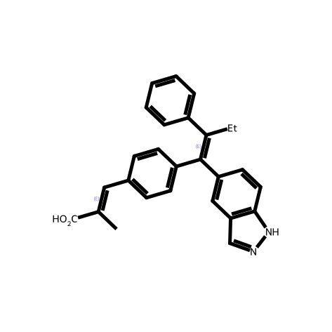 CC/C(=C(/c1ccc(/C=C(\C)C(=O)O)cc1)c1ccc2[nH]ncc2c1)c1ccccc1